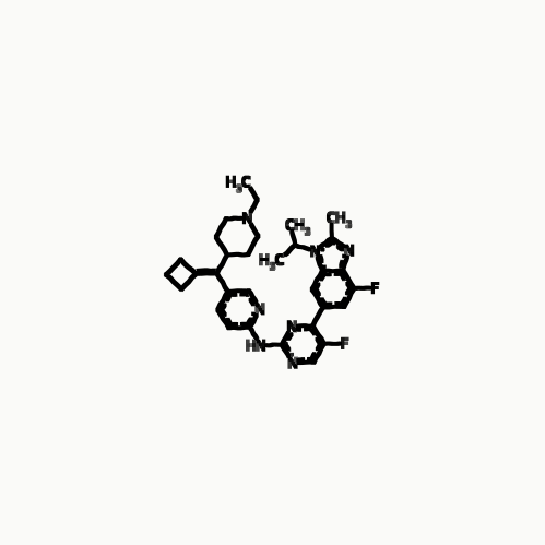 CCN1CCC(C(=C2CCC2)c2ccc(Nc3ncc(F)c(-c4cc(F)c5nc(C)n(C(C)C)c5c4)n3)nc2)CC1